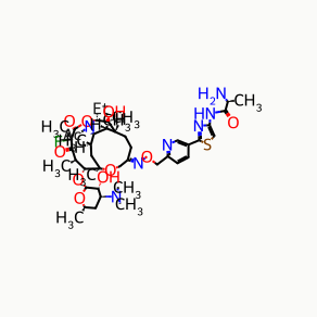 CC[C@H]1OC(=O)[C@@](C)(F)C(=O)[C@H](C)[C@@H](O[C@@H]2O[C@H](C)C[C@H](N(C)C)[C@H]2O)[C@@]2(C)C[C@@H](C)/C(=N\C(C)=O)[C@H](C)[C@@H](CC/C(=N\OCc3ccc(-c4nc(NC(=O)[C@H](C)N)cs4)cn3)CO2)[C@]1(C)O